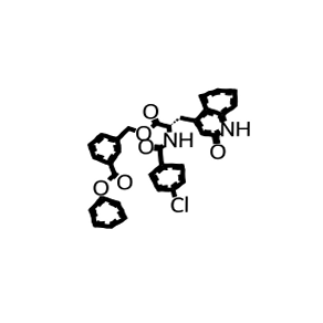 O=C(N[C@@H](Cc1cc(=O)[nH]c2ccccc12)C(=O)OCc1cccc(C(=O)Oc2ccccc2)c1)c1ccc(Cl)cc1